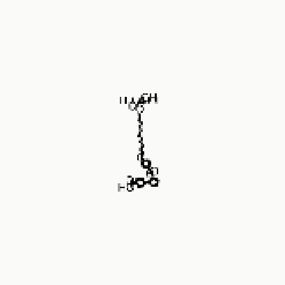 CC(CO)(CO)C(=O)OCCCCCCCCCCCCOc1ccc(C(=O)Oc2ccccc2-c2ccc(C(=O)O)cc2)cc1